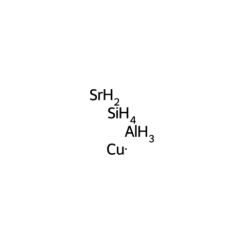 [AlH3].[Cu].[SiH4].[SrH2]